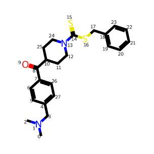 CN(C)Cc1ccc(C(=O)C2CCN(C(=S)SCc3ccccc3)CC2)cc1